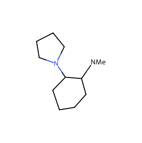 CNC1CCCCC1N1CCCC1